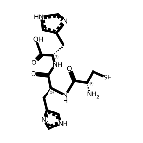 N[C@@H](CS)C(=O)N[C@@H](Cc1c[nH]cn1)C(=O)N[C@@H](Cc1c[nH]cn1)C(=O)O